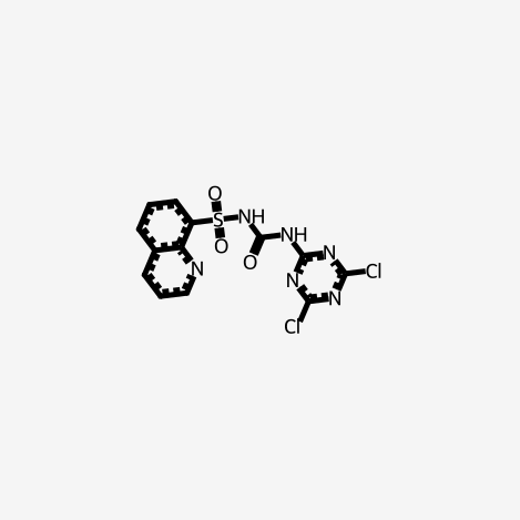 O=C(Nc1nc(Cl)nc(Cl)n1)NS(=O)(=O)c1cccc2cccnc12